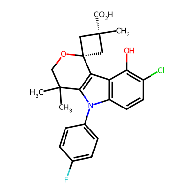 CC1(C)CO[C@]2(C[C@@](C)(C(=O)O)C2)c2c1n(-c1ccc(F)cc1)c1ccc(Cl)c(O)c12